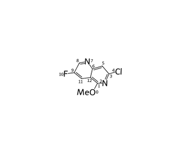 COc1nc(Cl)cc2ncc(F)cc12